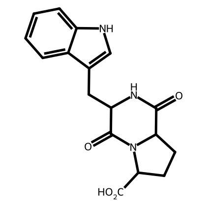 O=C(O)C1CCC2C(=O)NC(Cc3c[nH]c4ccccc34)C(=O)N12